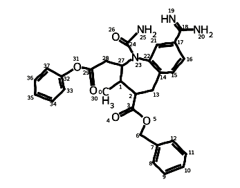 CC1C(C(=O)OCc2ccccc2)Cc2ccc(C(=N)N)cc2N(C(N)=O)C1CC(=O)Oc1ccccc1